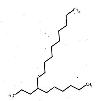 [CH2]CCC(CCCCCC)CCCCCCCCCC